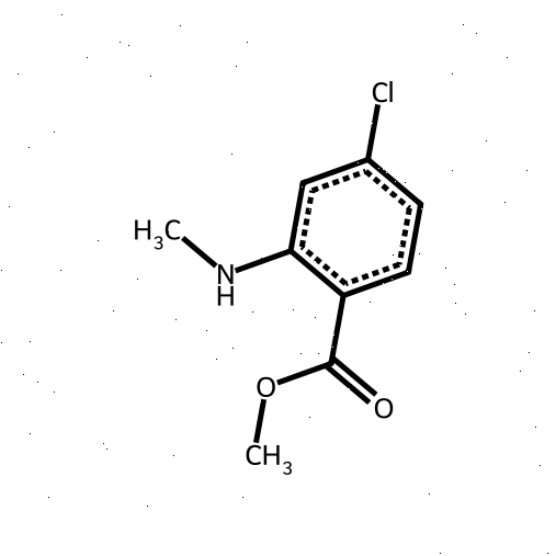 CNc1cc(Cl)ccc1C(=O)OC